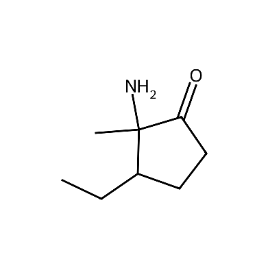 CCC1CCC(=O)C1(C)N